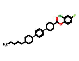 CCCCC[C@H]1CC[C@H](c2ccc([C@H]3CC[C@H](C(=O)Oc4ccc(F)cc4Cl)CC3)cc2)CC1